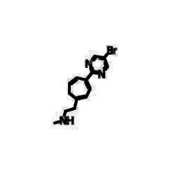 CNCCC1=CC=C(c2ncc(Br)cn2)C=CC1